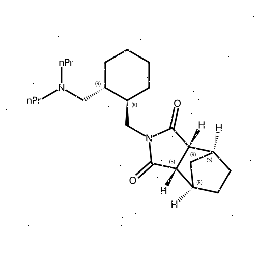 CCCN(CCC)C[C@@H]1CCCC[C@H]1CN1C(=O)[C@@H]2[C@H]3CC[C@H](C3)[C@@H]2C1=O